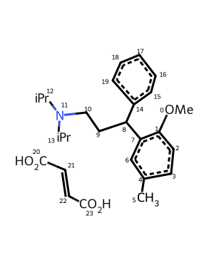 COc1ccc(C)cc1C(CCN(C(C)C)C(C)C)c1ccccc1.O=C(O)C=CC(=O)O